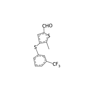 Cc1sc(C=O)cc1Sc1cccc(C(F)(F)F)c1